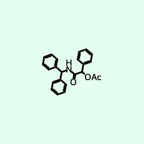 CC(=O)OC(C(=O)NC(c1ccccc1)c1ccccc1)c1ccccc1